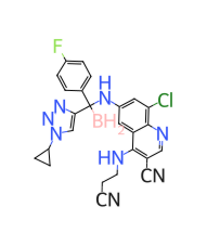 BC(Nc1cc(Cl)c2ncc(C#N)c(NCCC#N)c2c1)(c1ccc(F)cc1)c1cn(C2CC2)nn1